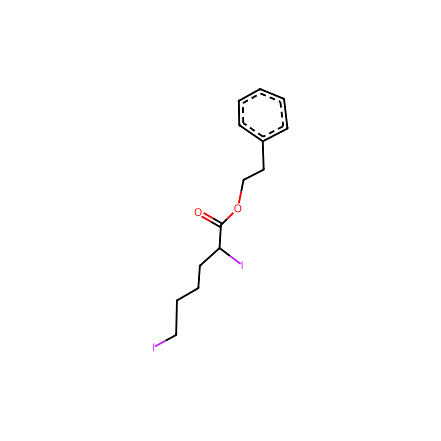 O=C(OCCc1ccccc1)C(I)CCCCI